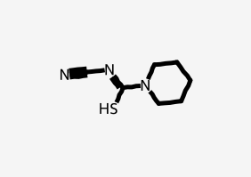 N#C/N=C(\S)N1CCCCC1